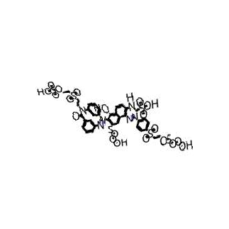 O=C(c1cccc(/N=N/c2c(SOOO)cc3c(/N=N/c4ccc(S(=O)(=O)CCOSOOO)cc4)c(NCS(=O)(=O)O)ccc3c2O)c1)N(CCS(=O)(=O)CCOS(=O)(=O)O)c1ccccc1